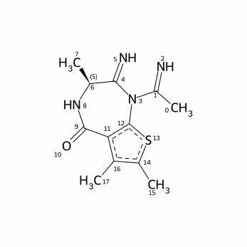 CC(=N)N1C(=N)[C@H](C)NC(=O)c2c1sc(C)c2C